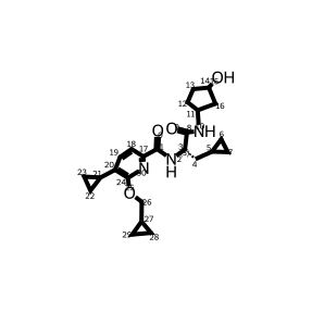 O=C(N[C@@H](CC1CC1)C(=O)NC1CCC(O)C1)c1ccc(C2CC2)c(OCC2CC2)n1